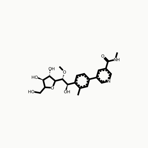 CNC(=O)c1cncc(-c2ccc([C@@H](O)[C@@H](OC)C3OC(CO)[C@@H](O)[C@@H]3O)c(C)c2)c1